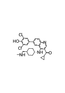 CNC[C@H]1CC[C@H](Nc2c(C(=O)C3CC3)cnc3ccc(-c4cc(Cl)c(O)c(Cl)c4)cc23)CC1